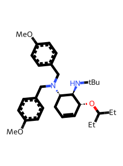 CCC(CC)O[C@@H]1C=CC[C@H](N(Cc2ccc(OC)cc2)Cc2ccc(OC)cc2)[C@H]1NC(C)(C)C